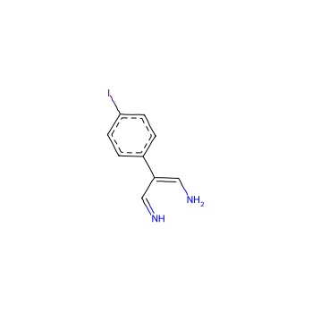 N=C/C(=C\N)c1ccc(I)cc1